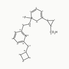 O=C(O)C1CC1C1=CC=CC(F)(OCc2cccc(SC3CCC3)n2)C1